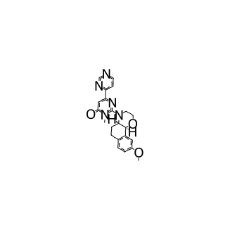 COc1ccc2c(c1)[C@@H]1OCCN(c3nc(-c4ccncn4)cc(=O)n3C)[C@H]1CC2